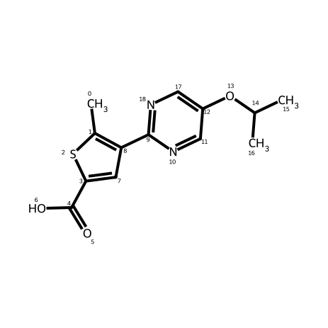 Cc1sc(C(=O)O)cc1-c1ncc(OC(C)C)cn1